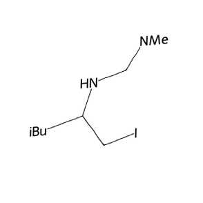 CCC(C)C(CI)NCNC